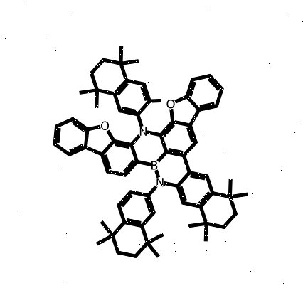 Cc1cc2c(cc1N1c3c(ccc4c3oc3ccccc34)B3c4c(cc5c(oc6ccccc65)c41)-c1cc4c(cc1N3c1ccc3c(c1)C(C)(C)CCC3(C)C)C(C)(C)CCC4(C)C)C(C)(C)CCC2(C)C